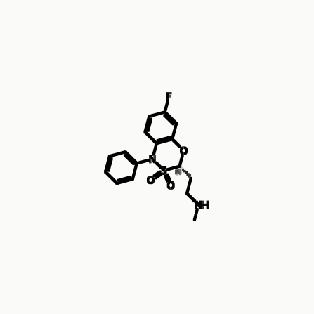 CNCC[C@H]1Oc2cc(F)ccc2N(c2ccccc2)S1(=O)=O